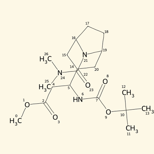 COC(=O)CC(NC(=O)OC(C)(C)C)C1CC2CCC(C1)N2C(=O)N(C)C